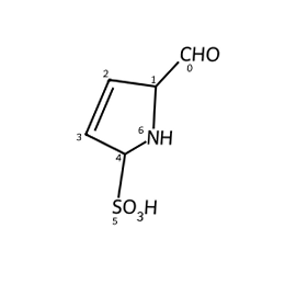 O=CC1C=CC(S(=O)(=O)O)N1